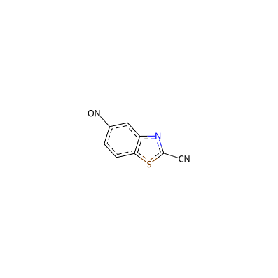 N#Cc1nc2cc(N=O)ccc2s1